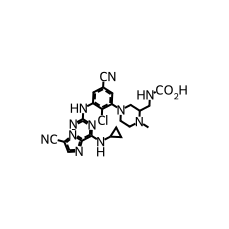 CN1CCN(c2cc(C#N)cc(Nc3nc(NC4CC4)c4ncc(C#N)n4n3)c2Cl)CC1CNC(=O)O